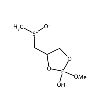 CO[P]1(O)OCC(C[S+](C)[O-])O1